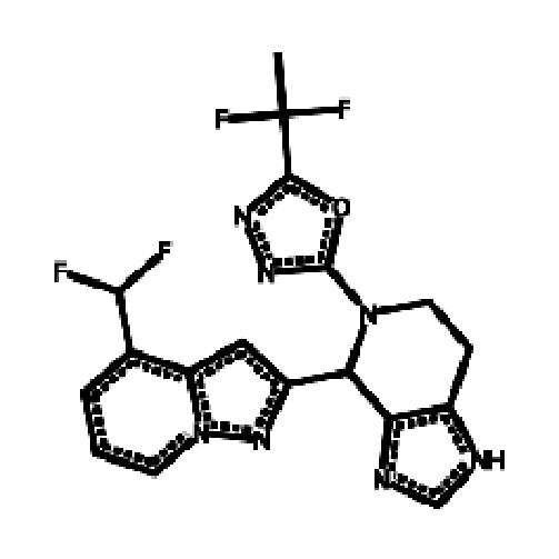 CC(F)(F)c1nnc(N2CCc3[nH]cnc3C2c2cc3c(C(F)F)cccn3n2)o1